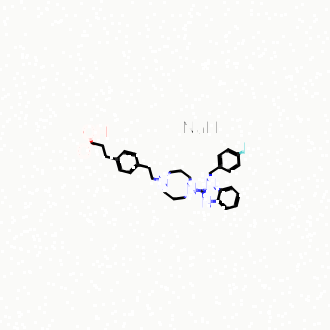 O=C(O)CCc1ccc(CCN2CCCN(c3nc4ccccc4n3Cc3ccc(F)cc3)CCC2)cc1.[NaH]